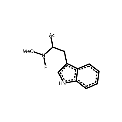 CON(F)C(Cc1c[nH]c2ccccc12)C(C)=O